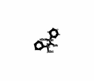 [CH2]CC[CH]([SnH]([CH2]CCCCCCC)[c]1ccccc1)[SnH]([CH2]CCCCCCC)[c]1ccccc1